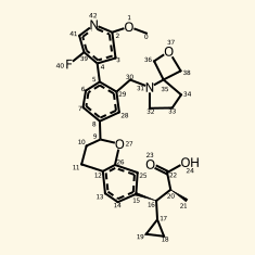 COc1cc(-c2ccc(C3CCc4ccc([C@H](C5CC5)[C@H](C)C(=O)O)cc4O3)cc2CN2CCCC23COC3)c(F)cn1